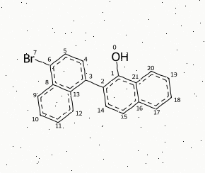 Oc1c(-c2ccc(Br)c3ccccc23)ccc2ccccc12